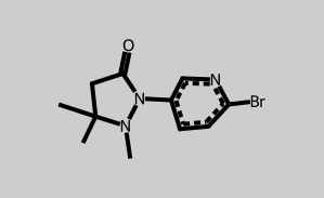 CN1N(c2ccc(Br)nc2)C(=O)CC1(C)C